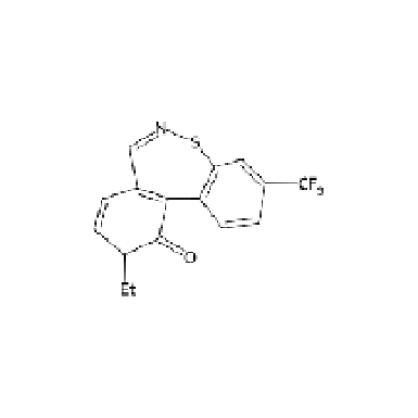 CCC1C=CC2=C(C1=O)c1ccc(C(F)(F)F)cc1SN=C2